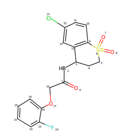 O=C(BC1CCS(=O)(=O)c2ccc(Cl)cc21)COc1ccccc1F